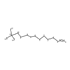 CCCCCCCCCCCC(I)(I)I